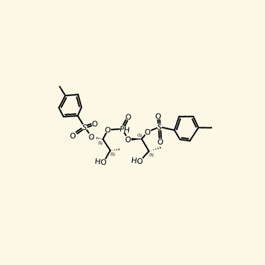 Cc1ccc(S(=O)(=O)O[C@H](O[PH](=O)O[C@@H](OS(=O)(=O)c2ccc(C)cc2)[C@H](C)O)[C@H](C)O)cc1